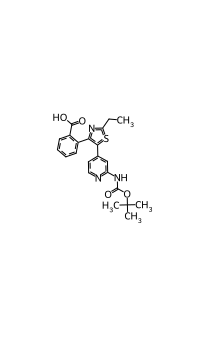 CCc1nc(-c2ccccc2C(=O)O)c(-c2ccnc(NC(=O)OC(C)(C)C)c2)s1